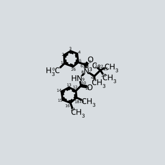 Cc1cccc(C(=O)N(NC(=O)c2cccc(C)c2C)C(C)C(C)(C)C)c1